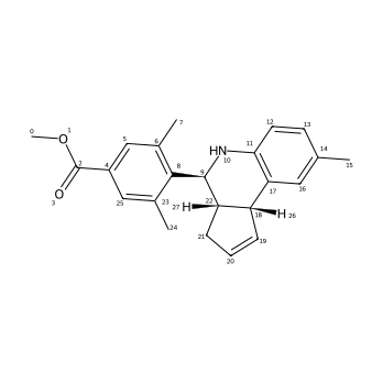 COC(=O)c1cc(C)c([C@H]2Nc3ccc(C)cc3[C@@H]3C=CC[C@H]23)c(C)c1